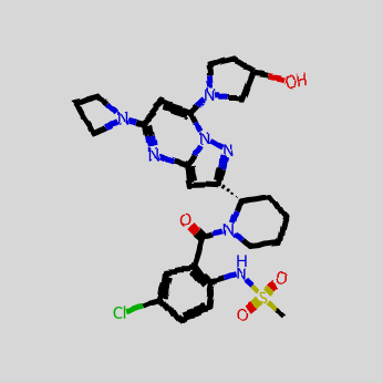 CS(=O)(=O)Nc1ccc(Cl)cc1C(=O)N1CCCC[C@H]1c1cc2nc(N3CCC3)cc(N3CCC(O)C3)n2n1